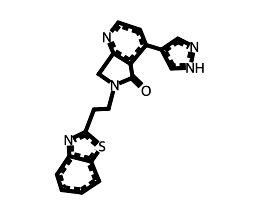 O=C1c2c(-c3cn[nH]c3)ccnc2CN1CCc1nc2ccccc2s1